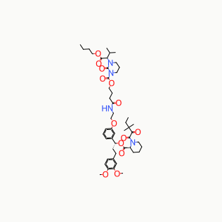 CCCCOC(=O)C(C(C)C)N1CCCN(C(=O)OCCCC(=O)NCCOc2cccc([C@@H](CCc3ccc(OC)c(OC)c3)OC(=O)[C@@H]3CCCCN3C(=O)C(=O)C(C)(C)CC)c2)C1=O